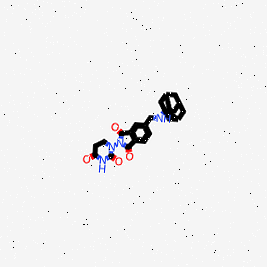 O=C1CCN(N2C(=O)c3ccc(CNC45CC6CC(CC(C6)C4)C5)cc3C2=O)C(=O)N1